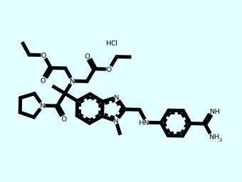 CCOC(=O)CN(CC(=O)OCC)C(C)(C(=O)N1CCCC1)c1ccc2c(c1)nc(CNc1ccc(C(=N)N)cc1)n2C.Cl